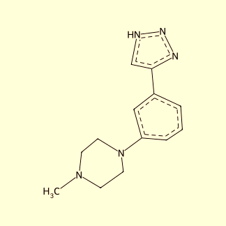 CN1CCN(c2cccc(-c3c[nH]nn3)c2)CC1